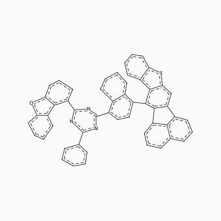 c1ccc(-c2nc(-c3ccc(-c4c5c(cc6sc7ccccc7c46)-c4cccc6cccc-5c46)c4ccccc34)nc(-c3cccc4oc5ccccc5c34)n2)cc1